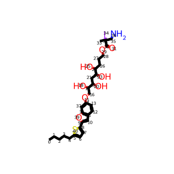 CCCCCc1ccc(-c2cc3ccc(OCC(O)C(O)CC(O)C(O)CCCOC(=O)C(C)(I)CN)cc3o2)s1